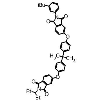 CCC(C)c1cccc(N2C(=O)c3ccc(Oc4ccc(C(C)(C)c5ccc(Oc6ccc7c(c6)C(=O)N(C(CC)CC)C7=O)cc5)cc4)cc3C2=O)c1